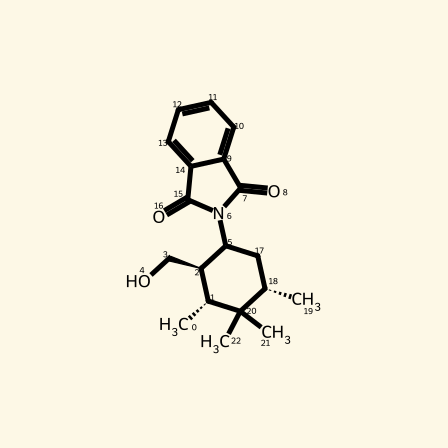 C[C@@H]1[C@@H](CO)C(N2C(=O)c3ccccc3C2=O)C[C@H](C)C1(C)C